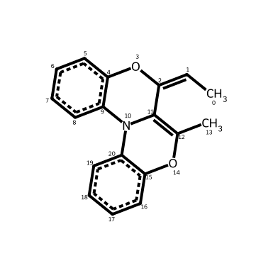 C/C=C1/Oc2ccccc2N2C1=C(C)Oc1ccccc12